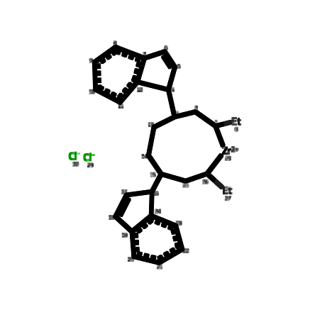 CC[CH]1CC(C2C=Cc3ccccc32)CCC(C2C=Cc3ccccc32)C[CH](CC)[Zr+2]1.[Cl-].[Cl-]